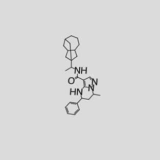 CC1CC(c2ccccc2)Nc2c(C(=O)NC(C)C34CC5CCCC(C3)C(C5)C4)cnn21